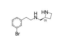 Brc1cccc(CCNC[C@@H]2CCN2)c1